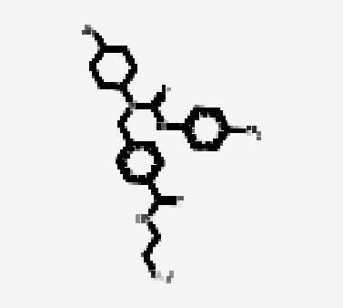 CC(C)(C)C1CCC(N(Cc2ccc(C(=O)NCCC(=O)O)cc2)C(=O)Nc2ccc(C(F)(F)F)cc2)CC1